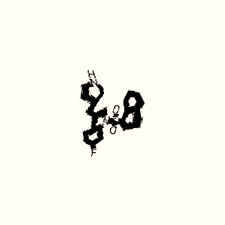 O=S(=O)(c1cccc2ccccc12)n1cc(CC2CCNCC2)c2ccc(F)cc21